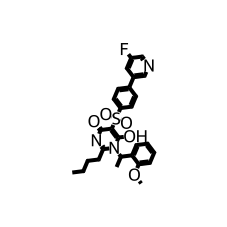 CCCCc1nc(=O)c(S(=O)(=O)c2ccc(-c3cncc(F)c3)cc2)c(O)n1C(C)c1ccccc1OC